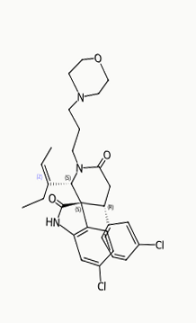 C/C=C(/CC)[C@@H]1N(CCCN2CCOCC2)C(=O)C[C@H](c2cccc(Cl)c2)[C@@]12C(=O)Nc1cc(Cl)ccc12